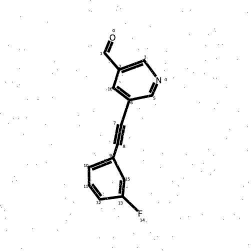 O=Cc1cncc(C#Cc2cccc(F)c2)c1